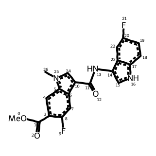 COC(=O)c1cc2c(cc1F)c(C(=O)Nc1c[nH]c3ccc(F)cc13)cn2C